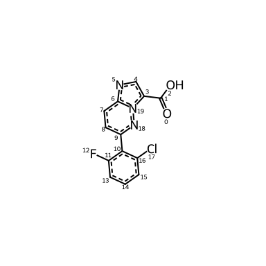 O=C(O)c1cnc2ccc(-c3c(F)cccc3Cl)nn12